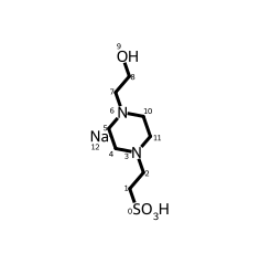 O=S(=O)(O)CCN1CCN(CCO)CC1.[Na]